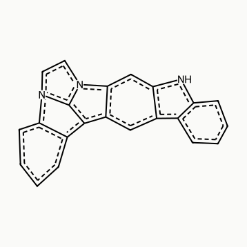 c1ccc2c(c1)[nH]c1cc3c(cc12)c1c2ccccc2n2ccn3c12